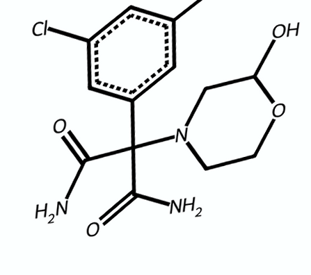 NC(=O)C(C(N)=O)(c1cc(Cl)cc(Cl)c1)N1CCOC(O)C1